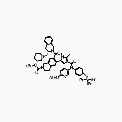 COc1ccc(N(C(=O)c2cc(-c3cc4c(cc3C(=O)N3Cc5ccccc5C[C@H]3CN3CCCCC3)CN(C(=O)OC(C)(C)C)CC4)n(C)c2C)c2ccc(O[Si](C(C)C)(C(C)C)C(C)C)cc2)cn1